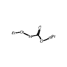 CCCOC(=O)[N]OCC